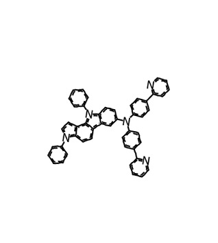 c1ccc(-n2ccc3c2ccc2c4cc(N(c5ccc(-c6ccccn6)cc5)c5ccc(-c6ccccn6)cc5)ccc4n(-c4ccccc4)c23)cc1